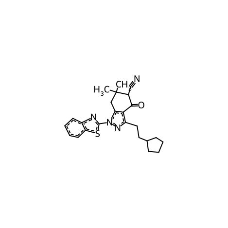 CC1(C)Cc2c(c(CCC3CCCC3)nn2-c2nc3ccccc3s2)C(=O)C1C#N